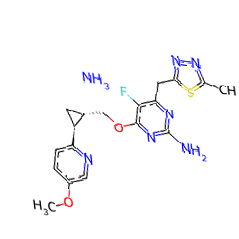 COc1ccc([C@H]2C[C@@H]2COc2nc(N)nc(Cc3nnc(C)s3)c2F)nc1.N